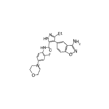 CCc1n[nH]c(C(=O)Nc2ccc(N3CCOCC3)cc2F)c1-c1ccc2onc(N)c2c1